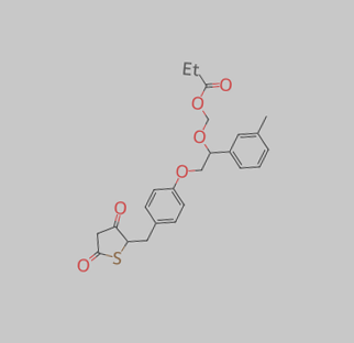 CCC(=O)OCOC(COc1ccc(CC2SC(=O)CC2=O)cc1)c1cccc(C)c1